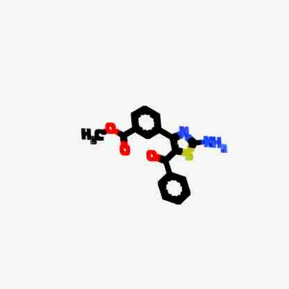 COC(=O)c1cccc(-c2nc(N)sc2C(=O)c2ccccc2)c1